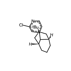 CC(C)(C)N1C[C@H]2CCC[C@@H](C1)C2c1ccnc(Cl)c1